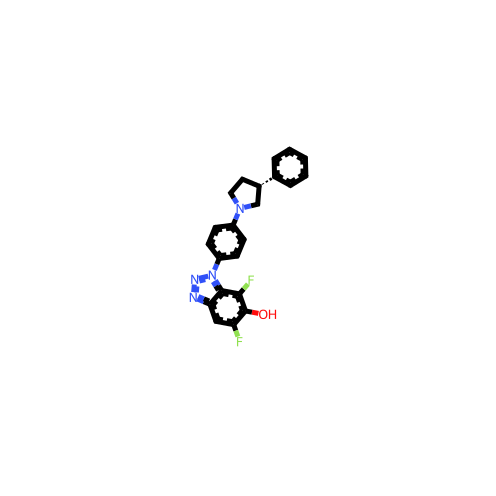 Oc1c(F)cc2nnn(-c3ccc(N4CC[C@H](c5ccccc5)C4)cc3)c2c1F